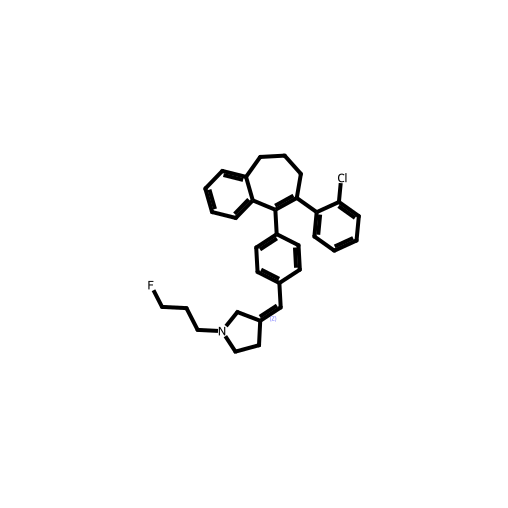 FCCCN1CC/C(=C/c2ccc(C3=C(c4ccccc4Cl)CCCc4ccccc43)cc2)C1